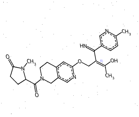 C/C(O)=C(\COc1cc2c(cn1)CN(C(=O)C1CCC(=O)N1C)CC2)C(=N)c1ccc(C)nc1